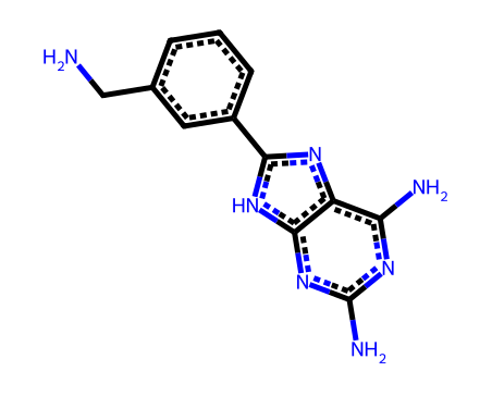 NCc1cccc(-c2nc3c(N)nc(N)nc3[nH]2)c1